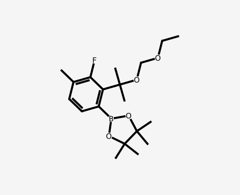 CCOCOC(C)(C)c1c(B2OC(C)(C)C(C)(C)O2)ccc(C)c1F